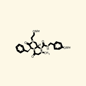 COCCN1C[C@H]2N(C(=O)CN(C)N2C(=O)NCc2ccc(OC)cc2)[C@@H](Cc2ccccc2)C1=O